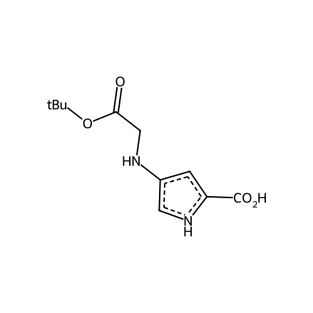 CC(C)(C)OC(=O)CNc1c[nH]c(C(=O)O)c1